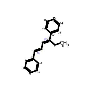 CC/C(=C\C=C\c1ccccc1)c1ccccc1